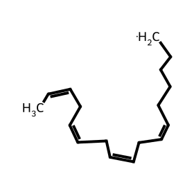 [CH2]CCCC/C=C\C/C=C\C/C=C\C/C=C\C